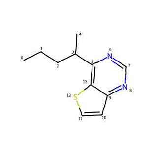 CCCC(C)c1ncnc2ccsc12